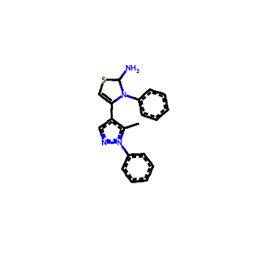 Cc1c(C2=CSC(N)N2c2ccccc2)cnn1-c1ccccc1